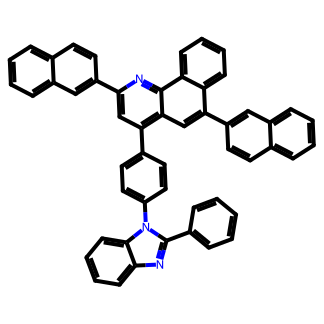 c1ccc(-c2nc3ccccc3n2-c2ccc(-c3cc(-c4ccc5ccccc5c4)nc4c3cc(-c3ccc5ccccc5c3)c3ccccc34)cc2)cc1